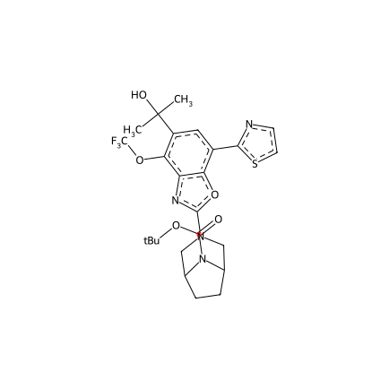 CC(C)(C)OC(=O)N1C2CCC1CN(c1nc3c(OC(F)(F)F)c(C(C)(C)O)cc(-c4nccs4)c3o1)C2